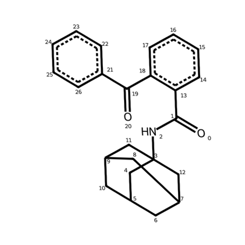 O=C(NC12CC3CC(CC(C3)C1)C2)c1ccccc1C(=O)c1ccccc1